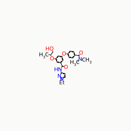 CCn1ccc(NC(=O)c2cc(Oc3ccc(C(=O)N(C)C)cc3)cc(O[C@@H](C)CO)c2)n1